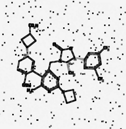 COC1=CC[C@H](C2CC(C(=O)O)C2)C=C1c1c(C)nc(N2CCC2)nc1CN1C(=O)O[C@H](c2cc(C(F)(F)F)cc(C(F)(F)F)c2)[C@@H]1C